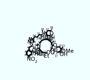 CC[C@H]1OC(=O)[C@H](C)[C@@H](O[C@H]2C[C@@](C)(OC)[C@@H](O)[C@H](C)O2)[C@H](C)[C@@H](O[C@@H]2O[C@H](C)C[C@H](N(C)CCCCc3cn([C@H](CO)Cc4ccc([N+](=O)[O-])cc4)nn3)[C@H]2O)[C@](C)(O)C[C@@H](C)CN(C)[C@H](C)[C@@H](O)[C@]1(C)O